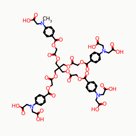 CN(CC(=O)O)c1ccc(C(=O)OCC(=O)OCC(COC(=O)COC(=O)c2ccc(N(CC(=O)O)CC(=O)O)cc2)(COC(=O)COC(=O)c2ccc(N(CC(=O)O)CC(=O)O)cc2)COC(=O)COC(=O)c2ccc(N(CC(=O)O)CC(=O)O)cc2)cc1